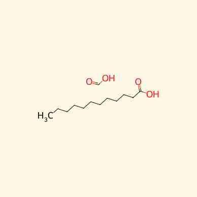 CCCCCCCCCCCC(=O)O.O=CO